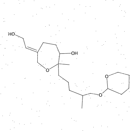 CC(CCCC1(C)OCC(=CCO)CCC1O)COC1CCCCO1